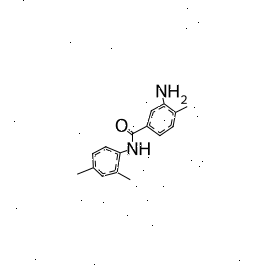 Cc1ccc(NC(=O)c2ccc(C)c(N)c2)c(C)c1